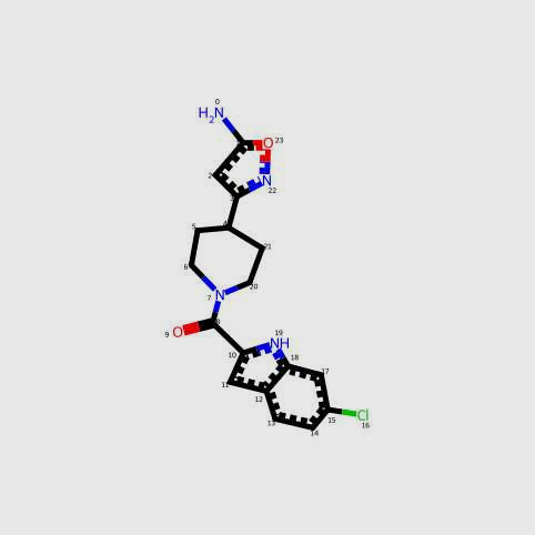 Nc1cc(C2CCN(C(=O)c3cc4ccc(Cl)cc4[nH]3)CC2)no1